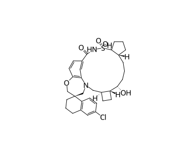 O=C1NS(=O)(=O)[C@H]2CCC[C@@H]2CCC[C@H](O)[C@@H]2CC[C@H]2CN2C[C@@]3(CCCc4cc(Cl)ccc43)COc3ccc1cc32